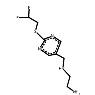 NCCNCc1cnc(SCC(F)F)nc1